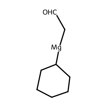 O=C[CH2][Mg][CH]1CCCCC1